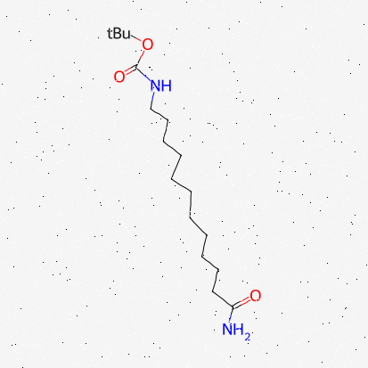 CC(C)(C)OC(=O)NCCCCCCCCCCCC(N)=O